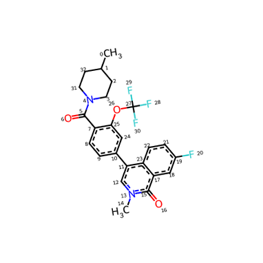 CC1CCN(C(=O)c2ccc(-c3cn(C)c(=O)c4cc(F)ccc34)cc2OC(F)(F)F)CC1